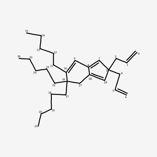 C=CCC1(CC=C)[C]=C2C=C(CCCCC)C(CCCCC)(CCCCC)CC2=C1